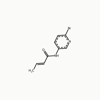 CC=CC(=O)Nc1ccc(Br)nc1